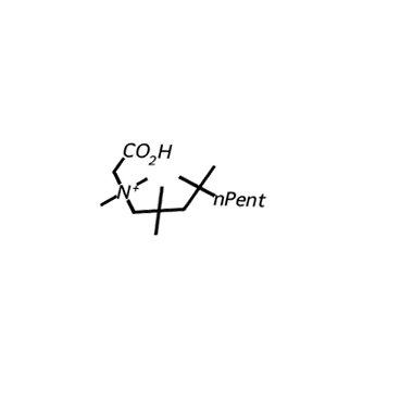 CCCCCC(C)(C)CC(C)(C)C[N+](C)(C)CC(=O)O